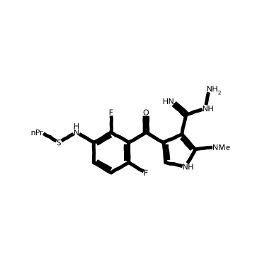 CCCSNc1ccc(F)c(C(=O)c2c[nH]c(NC)c2C(=N)NN)c1F